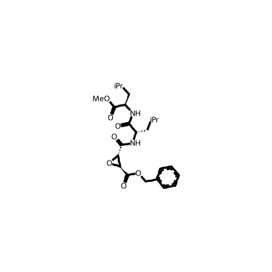 COC(=O)[C@@H](CC(C)C)NC(=O)[C@H](CC(C)C)NC(=O)[C@H]1O[C@@H]1C(=O)OCc1ccccc1